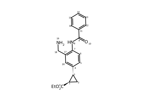 CCOC(=O)[C@@H]1C[C@H]1c1ccc(NC(=O)c2ccccc2)c(CN)c1